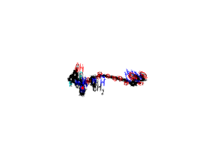 C#Cc1c(F)ccc2cc(O)cc(-c3ncc4c(N5CC6CCC(C5)N6)nc(OC[C@]56CC[C@H](COC(=O)NCCOCCOCCOCCC(=O)Nc7cccc8c7C(=O)N(C7CCC(=O)NC7=O)C8=O)N5CC(=C)C6)nc4c3F)c12